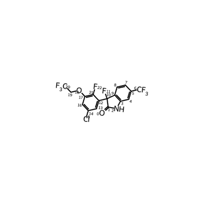 O=C1Nc2cc(C(F)(F)F)ccc2C1(F)c1cc(Cl)cc(OCC(F)(F)F)c1F